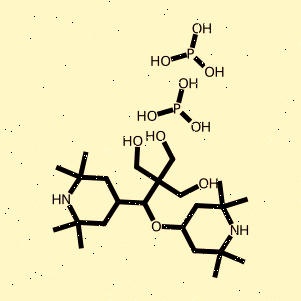 CC1(C)CC(OC(C2CC(C)(C)NC(C)(C)C2)C(CO)(CO)CO)CC(C)(C)N1.OP(O)O.OP(O)O